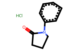 Cl.O=C1CCCN1c1ccccc1